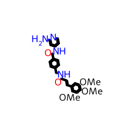 COc1cc(/C=C/C(=O)NCc2ccc(C(=O)Nc3ccnc(N)c3)cc2)cc(OC)c1OC